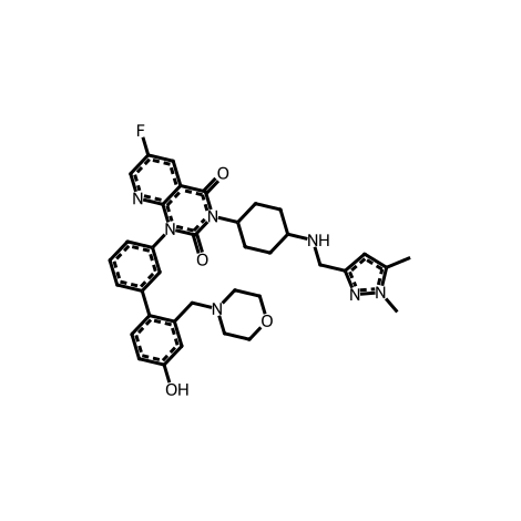 Cc1cc(CNC2CCC(n3c(=O)c4cc(F)cnc4n(-c4cccc(-c5ccc(O)cc5CN5CCOCC5)c4)c3=O)CC2)nn1C